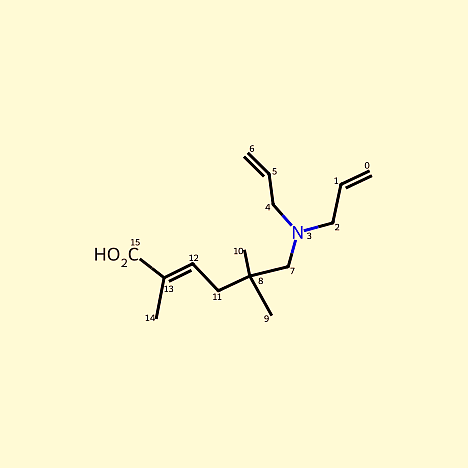 C=CCN(CC=C)CC(C)(C)CC=C(C)C(=O)O